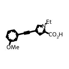 CCn1cc(C#Cc2cccc(OC)c2)cc1C(=O)O